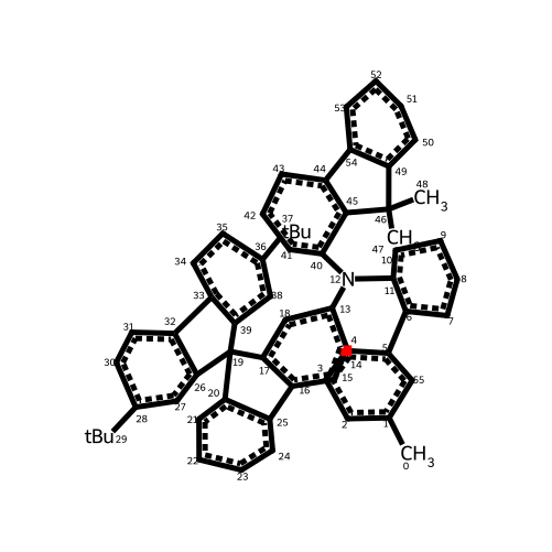 Cc1cccc(-c2ccccc2N(c2ccc3c(c2)C2(c4ccccc4-3)c3cc(C(C)(C)C)ccc3-c3ccc(C(C)(C)C)cc32)c2cccc3c2C(C)(C)c2ccccc2-3)c1